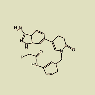 NC1=NNC2C=C(C3=CN(CC4C=C(NC(=O)CF)C=CC4)C(=O)CC3)C=CC12